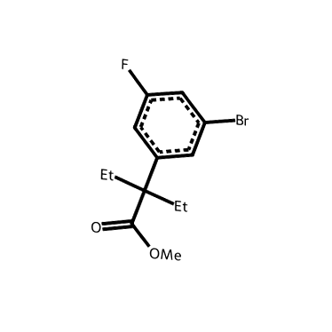 CCC(CC)(C(=O)OC)c1cc(F)cc(Br)c1